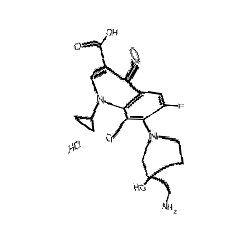 Cl.NCC1(O)CCN(c2c(F)cc3c(=O)c(C(=O)O)cn(C4CC4)c3c2Cl)C1